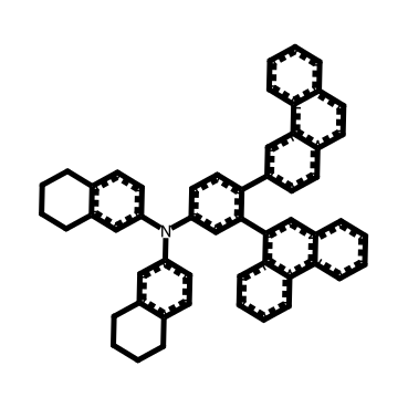 c1ccc2c(c1)ccc1ccc(-c3ccc(N(c4ccc5c(c4)CCCC5)c4ccc5c(c4)CCCC5)cc3-c3cc4ccccc4c4ccccc34)cc12